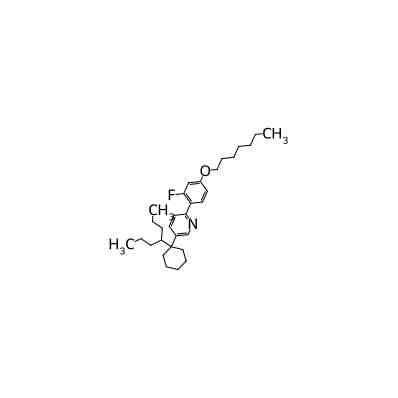 CCCCCCCOc1ccc(-c2ccc(C3(C(CCC)CCC)CCCCC3)cn2)c(F)c1